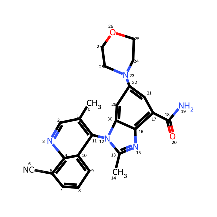 Cc1cnc2c(C#N)cccc2c1-n1c(C)nc2c(C(N)=O)cc(N3CCOCC3)cc21